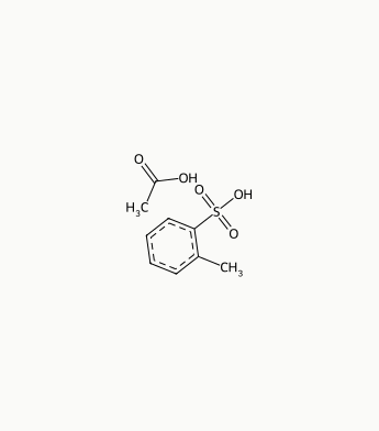 CC(=O)O.Cc1ccccc1S(=O)(=O)O